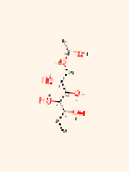 CCC(O)C(O)C(O)C(O)COC(C)=O